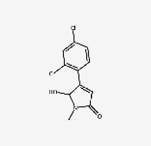 CN1C(=O)C=C(c2ccc(Cl)cc2Cl)C1O